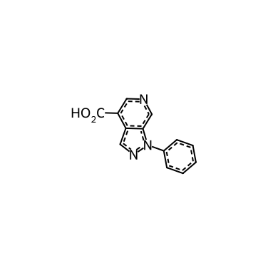 O=C(O)c1cncc2c1cnn2-c1ccccc1